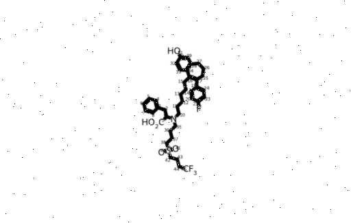 O=C(O)C(Cc1ccccc1)N(CCCCCCC1=C(c2ccc(F)cc2)CCCc2cc(O)ccc21)CCCCS(=O)(=O)CCCC(F)(F)F